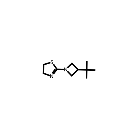 CC(C)(C)C1CN(C2=NCCS2)C1